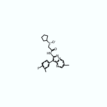 Cc1cnc2c(-c3ccc(F)c(C)c3)c(NC(=O)C[S+]([O-])C3CCCC3)nn2c1